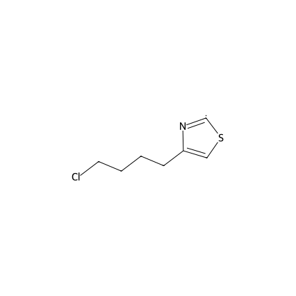 ClCCCCc1cs[c]n1